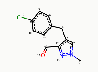 Cn1cc(Cc2ccc(Cl)cc2)c(C=O)n1